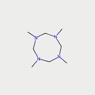 CN1CN(C)CN(C)CN(C)C1